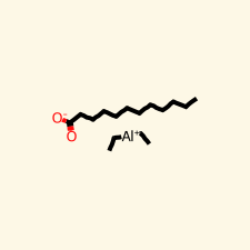 CCCCCCCCCCCC(=O)[O-].C[CH2][Al+][CH2]C